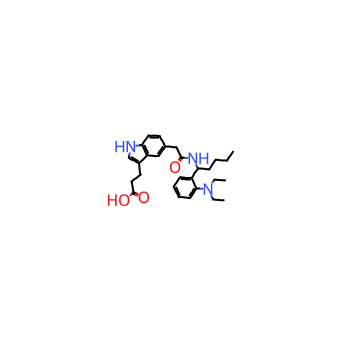 CCCCC(NC(=O)Cc1ccc2[nH]cc(CCC(=O)O)c2c1)c1ccccc1N(CC)CC